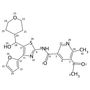 CC(=O)c1cc(C(=O)Nc2nc(-c3ccco3)c(C(O)C3CCOCC3)s2)cnc1C